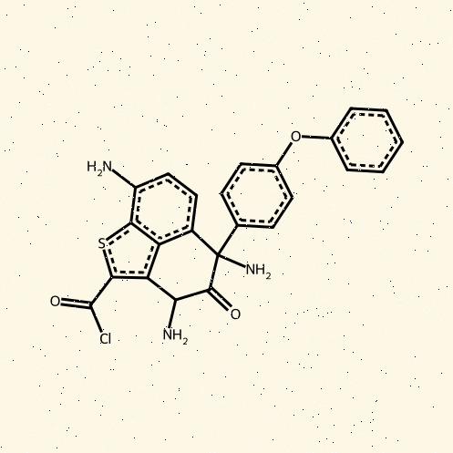 Nc1ccc2c3c(c(C(=O)Cl)sc13)C(N)C(=O)C2(N)c1ccc(Oc2ccccc2)cc1